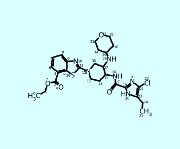 CCOC(=O)c1cccc2nc(N3CCC(NC(=O)c4nc(Cl)c(CC)[nH]4)C(NC4CCOCC4)C3)sc12